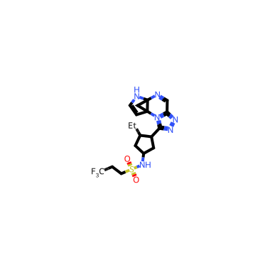 CCC1CC(NS(=O)(=O)CCC(F)(F)F)CC1c1nnc2n1C13C=CNC1(C3)N=C2